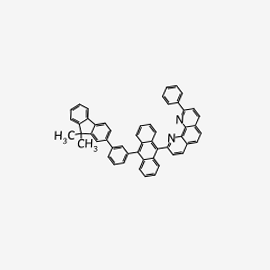 CC1(C)c2ccccc2-c2ccc(-c3cccc(-c4c5ccccc5c(-c5ccc6ccc7ccc(-c8ccccc8)nc7c6n5)c5ccccc45)c3)cc21